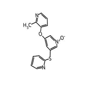 Cc1ncccc1Oc1cc(Sc2ccccn2)c[n+]([O-])c1